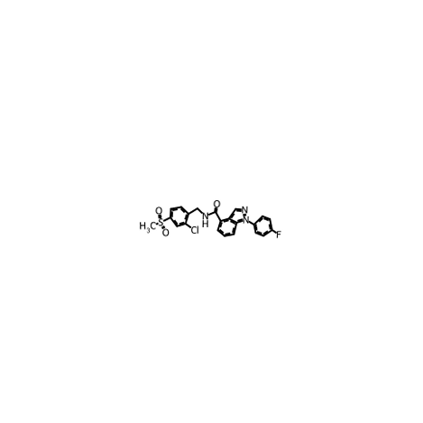 CS(=O)(=O)c1ccc(CNC(=O)c2cccc3c2cnn3-c2ccc(F)cc2)c(Cl)c1